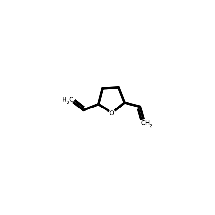 C=CC1CCC(C=C)O1